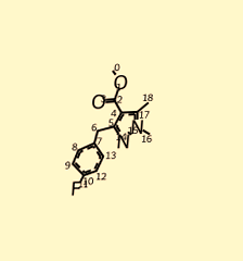 COC(=O)c1c(Cc2ccc(F)cc2)nn(C)c1C